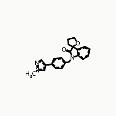 Cn1cc(-c2ccc(CN3C(=O)C4(CCCO4)c4ccccc43)cc2)cn1